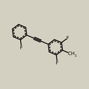 Cc1c(F)cc(C#Cc2ccccc2F)cc1F